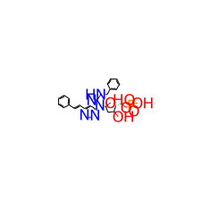 O=P(O)(O)OC[C@H]1O[C@@H](n2c(NCc3ccccc3)nc3c(/C=C/c4ccccc4)ncnc32)C[C@@H]1O